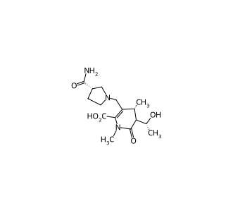 C[C@@H](O)C1C(=O)N(C)C(C(=O)O)=C(CN2CC[C@H](C(N)=O)C2)[C@@H]1C